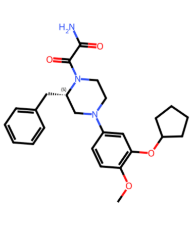 COc1ccc(N2CCN(C(=O)C(N)=O)[C@@H](Cc3ccccc3)C2)cc1OC1CCCC1